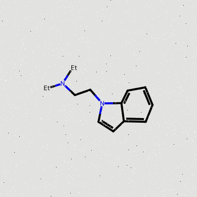 CCN(CC)CCn1ccc2ccccc21